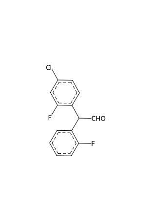 O=CC(c1ccccc1F)c1ccc(Cl)cc1F